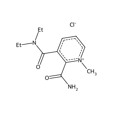 CCN(CC)C(=O)c1ccc[n+](C)c1C(N)=O.[Cl-]